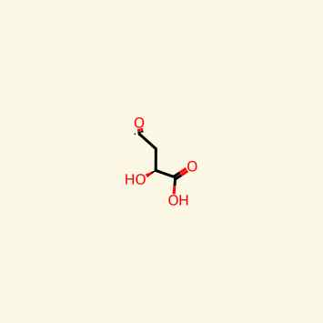 O=[C]C[C@H](O)C(=O)O